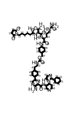 CC(C)[C@H](NC(=O)CCCCCN1C(=O)C=CC1=O)C(=O)N[C@@H](CCCNC(N)=O)C(=O)Nc1ccc(COC(=O)NCCc2ccc(-c3cnc(N)c(C(=O)Nc4cnccc4-n4ccnc4-c4ccccc4)n3)cc2)cc1